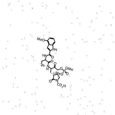 COc1cccc2[nH]c(C(=O)NC(CC(C)C)C(=O)NC(C[C@@H]3CCN(C(=O)O)C3=O)C(=O)COP(=O)(OC)OC)cc12